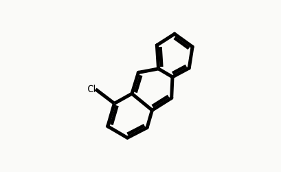 Clc1cccc2cc3ccccc3cc12